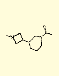 CC(=O)N1CCCC(C2CN(C)C2)C1